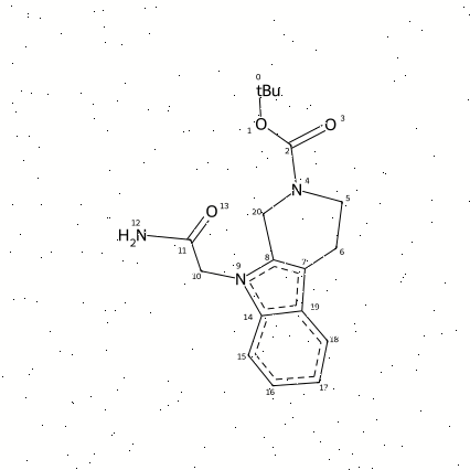 CC(C)(C)OC(=O)N1CCc2c(n(CC(N)=O)c3ccccc23)C1